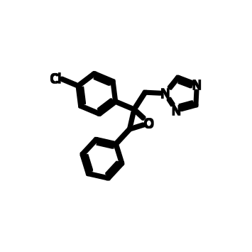 Clc1ccc(C2(Cn3cncn3)OC2c2ccccc2)cc1